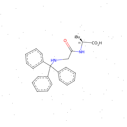 CCC(C)[C@H](NC(=O)CNC(c1ccccc1)(c1ccccc1)c1ccccc1)C(=O)O